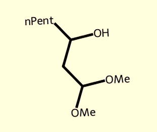 CCCCCC(O)CC(OC)OC